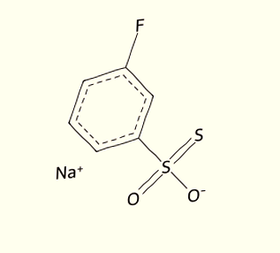 O=S([O-])(=S)c1cccc(F)c1.[Na+]